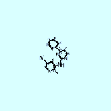 Cc1ncc(Br)cc1Nc1nccc(-c2cccnc2)n1